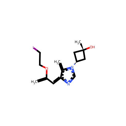 C=C(/C=c1/ncn([C@H]2C[C@@](C)(O)C2)c1=C)OCCI